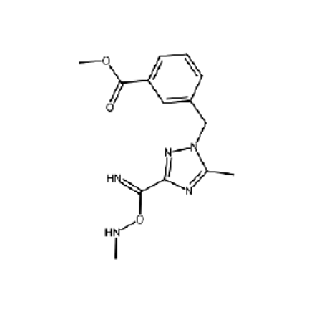 CNOC(=N)c1nc(C)n(Cc2cccc(C(=O)OC)c2)n1